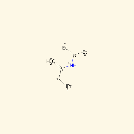 C=C(CC(C)C)NC(CC)CC